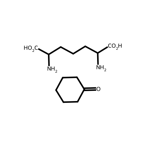 NC(CCCC(N)C(=O)O)C(=O)O.O=C1CCCCC1